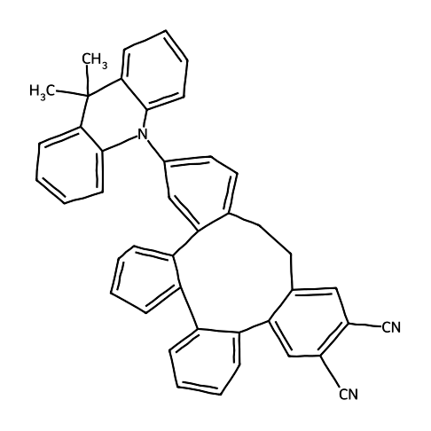 CC1(C)c2ccccc2N(c2ccc3c(c2)-c2ccccc2-c2ccccc2-c2cc(C#N)c(C#N)cc2CC3)c2ccccc21